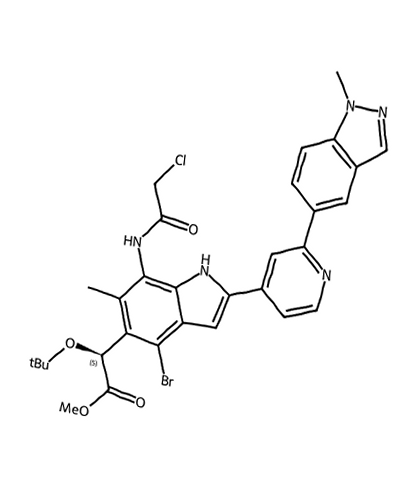 COC(=O)[C@@H](OC(C)(C)C)c1c(C)c(NC(=O)CCl)c2[nH]c(-c3ccnc(-c4ccc5c(cnn5C)c4)c3)cc2c1Br